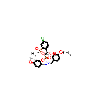 COc1ccc(CN(Cc2ccc(OC)cc2)S(=O)(=O)C[C@H](O)c2ccc(Cl)cc2S(C)(=O)=O)cc1